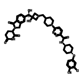 N#Cc1ccc(O[C@H]2CC[C@H](NC(=O)c3ccc(N4CCC(CN5CC(O)([C@@H](O)c6ccc7c(c6)CN(C6CCC(=O)NC6=O)C7=O)C5)CC4)nn3)CC2)cc1Cl